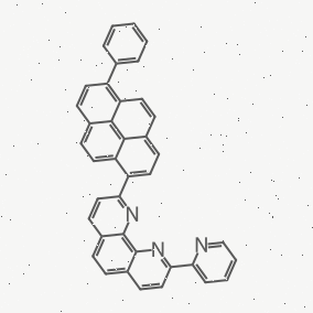 c1ccc(-c2ccc3ccc4c(-c5ccc6ccc7ccc(-c8ccccn8)nc7c6n5)ccc5ccc2c3c54)cc1